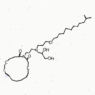 CC(C)CCCCCCCCCCOCCCN(CCCN1C(=O)CCCCC/C=C\CCCCCCCC1=O)CC(O)CO